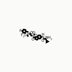 C[C@H](N(Cc1ccc(F)cc1)C(=O)CN1C(=O)OC2(CCc3cc(NC(=O)[C@H](N)C4CC4)ccc32)C1=O)C(F)(F)F